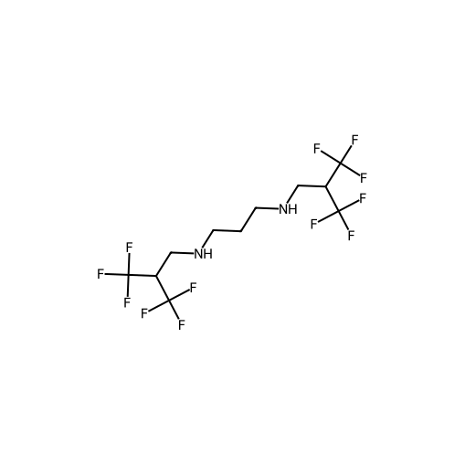 FC(F)(F)C(CNCCCNCC(C(F)(F)F)C(F)(F)F)C(F)(F)F